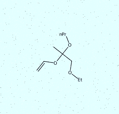 C=COC(C)(COCC)OC[CH]C